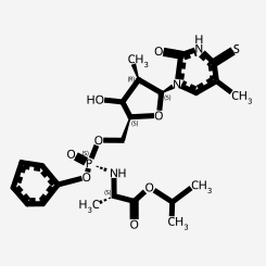 Cc1cn([C@H]2O[C@@H](CO[P@@](=O)(N[C@@H](C)C(=O)OC(C)C)Oc3ccccc3)C(O)[C@H]2C)c(=O)[nH]c1=S